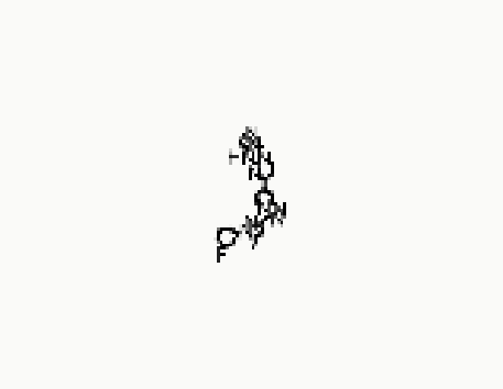 Cc1cc(-c2nnc3cc(-c4ccnc(Nc5ccnn5C)n4)ccn23)nn1-c1cccc(F)c1